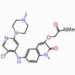 CNC(=O)COc1cc2cc(Nc3cc(N4CCN(I)CC4)ncc3Cl)ccc2n(C)c1=O